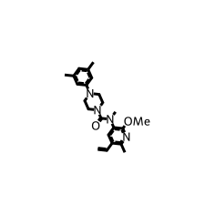 C=Cc1cc(N(C)C(=O)N2CCN(c3cc(C)cc(C)c3)CC2)c(OC)nc1C